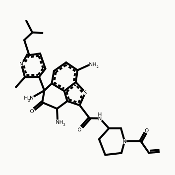 C=CC(=O)N1CCCC(NC(=O)c2sc3c(N)ccc4c3c2C(N)C(=O)C4(N)c2ccc(CC(C)C)nc2C)C1